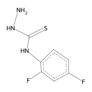 NNC(=S)Nc1ccc(F)cc1F